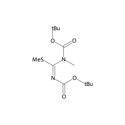 CSC(=NC(=O)OC(C)(C)C)N(C)C(=O)OC(C)(C)C